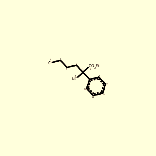 CCOC(=O)C(C#N)(CCCCl)c1ccccc1